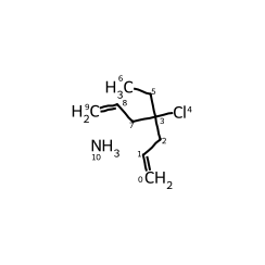 C=CCC(Cl)(CC)CC=C.N